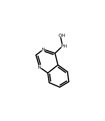 OPc1ncnc2ccccc12